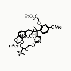 CCCCCC(OCOc1ncc(C2(c3ccc(OC)cc3OCC(=O)OCC)SC2(Cc2ccc3c(c2)OCO3)C(=O)O)[nH]1)[Si](C)(C)C